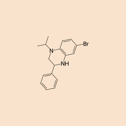 CC(C)N1CC(c2ccccc2)Nc2cc(Br)ccc21